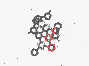 Cc1ccc2c(c1)c1ccccc1n2-c1nc(-n2c3ccccc3c3cc(C)ccc32)c(-n2c3ccccc3c3cc(C)ccc32)c(-c2cccc(-c3nc(-c4ccccc4)nc(-c4ccccc4)n3)c2-c2nc(-c3ccccc3)nc(-c3ccccc3)n2)c1-c1ccccc1